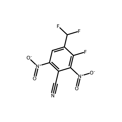 N#Cc1c([N+](=O)[O-])cc(C(F)F)c(F)c1[N+](=O)[O-]